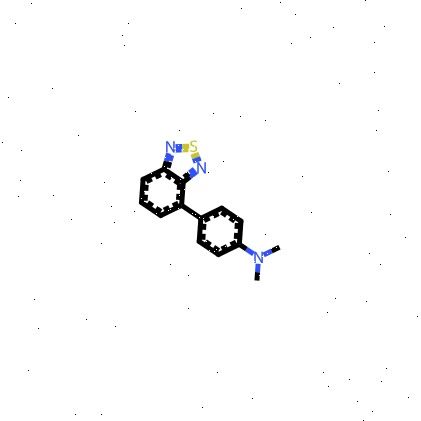 CN(C)c1ccc(-c2cccc3nsnc23)cc1